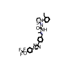 CCc1ccccc1N1CCCS/C1=N\C(=O)N/C(C)=C/c1ccc(-c2ncn(-c3ccc(OC(F)(F)F)cc3)n2)cc1